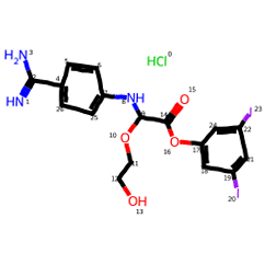 Cl.N=C(N)c1ccc(NC(OCCO)C(=O)Oc2cc(I)cc(I)c2)cc1